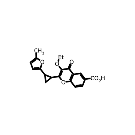 CCOc1c(C2CC2c2ccc(C)o2)oc2ccc(C(=O)O)cc2c1=O